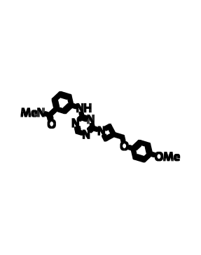 CNC(=O)c1cccc(Nc2ncnc(N3CC(COc4ccc(OC)cc4)C3)n2)c1